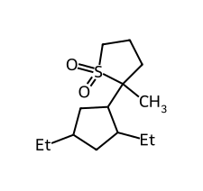 CCC1CC(CC)C(C2(C)CCCS2(=O)=O)C1